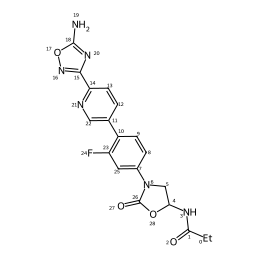 CCC(=O)NC1CN(c2ccc(-c3ccc(-c4noc(N)n4)nc3)c(F)c2)C(=O)O1